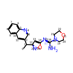 CC(c1cnc2ccccc2c1)c1cc(/N=C(\N)N2CCOCC2)on1